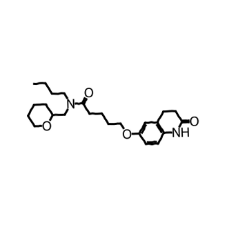 CCCCN(CC1CCCCO1)C(=O)CCCCOc1ccc2c(c1)CCC(=O)N2